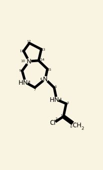 C=C(Cl)CNCN1CNCN2CCCC2C1